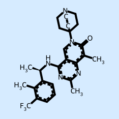 Cc1nc(N[C@H](C)c2cccc(C(F)(F)F)c2C)c2cn(C34CCN(CC3)CC4)c(=O)c(C)c2n1